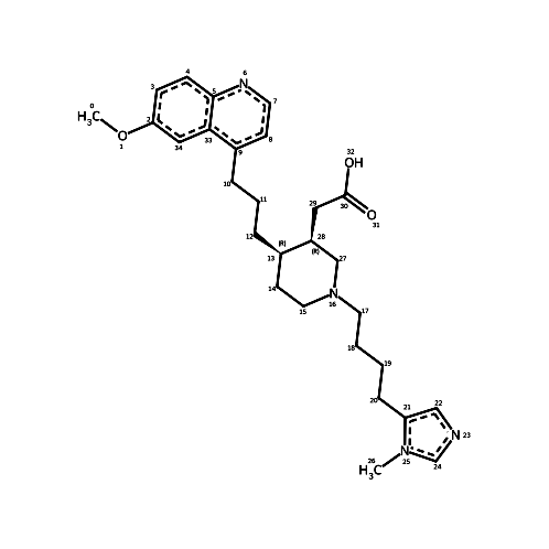 COc1ccc2nccc(CCC[C@@H]3CCN(CCCCc4cncn4C)C[C@@H]3CC(=O)O)c2c1